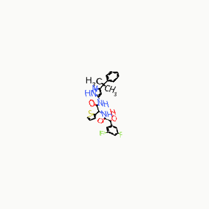 CC(C)(c1ccccc1)c1cc(NC(=O)C(NC(=O)C(O)c2cc(F)cc(F)c2)c2cccs2)[nH]n1